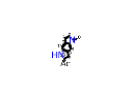 CC(=O)C1Cc2cc3c(ccn3C)cc2N1